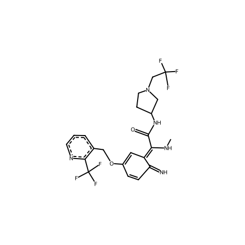 CN/C(C(=O)NC1CCN(CC(F)(F)F)C1)=C1/C=C(OCc2cccnc2C(F)(F)F)C=CC1=N